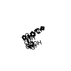 O=C(N[C@H](C(=O)N1C[C@@H](O)[C@H]2OCC(=O)[C@H]21)C1CCCC1)c1ccc(N2CCN(C3CCC3)CC2)cc1